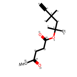 C#CC(C)(C)CC(C)(CC)OC(=O)CCC(=O)OC